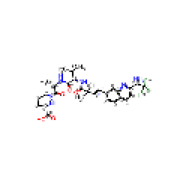 CC(C)C(NC(=O)C(C)(C)/C=C/c1ccc2ccc([C@H](N)C(F)(F)F)nc2c1)C(=O)N[C@@H](C)C(=O)N1CCC[C@@H](C(=O)O)N1